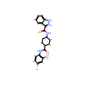 O=C(NC1CCC(C(=O)Nc2ccc(F)cc2Cl)CC1)c1n[nH]c2ccccc12